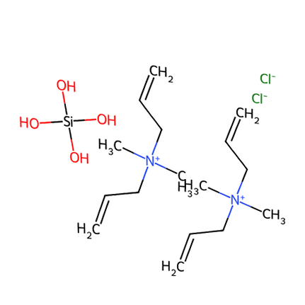 C=CC[N+](C)(C)CC=C.C=CC[N+](C)(C)CC=C.O[Si](O)(O)O.[Cl-].[Cl-]